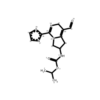 CC(C)OC(=O)NC1CC2=C(C=O)CN=C(c3nccs3)N2C1